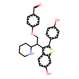 O=Cc1ccc(OCC(c2c(-c3ccc(O)cc3)sc3cc(O)ccc23)C2CCCCN2)cc1